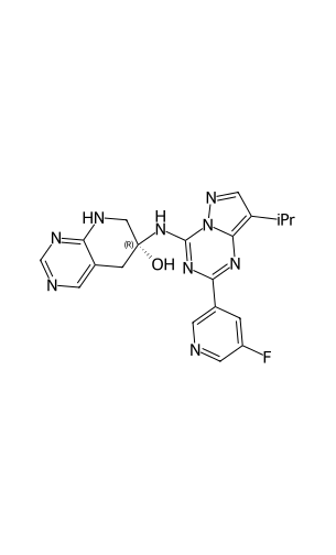 CC(C)c1cnn2c(N[C@]3(O)CNc4ncncc4C3)nc(-c3cncc(F)c3)nc12